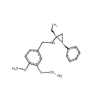 CC[C@@]1(NCc2ccc(OC)c(OC)c2)C[C@H]1c1ccccc1.Cl